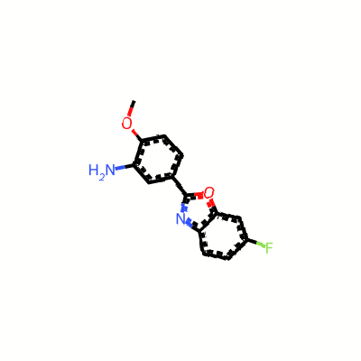 COc1ccc(-c2nc3ccc(F)cc3o2)cc1N